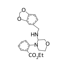 CCOC(=O)c1ccccc1N1CCOCC1NCc1ccc2c(c1)OCO2